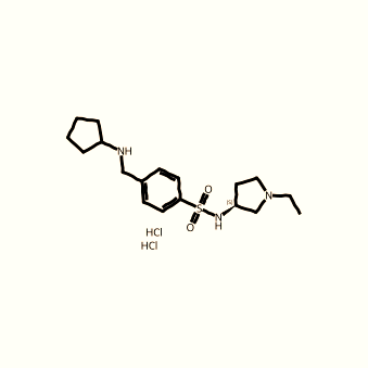 CCN1CC[C@H](NS(=O)(=O)c2ccc(CNC3CCCC3)cc2)C1.Cl.Cl